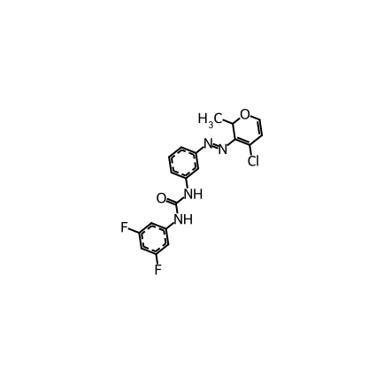 CC1OC=CC(Cl)=C1N=Nc1cccc(NC(=O)Nc2cc(F)cc(F)c2)c1